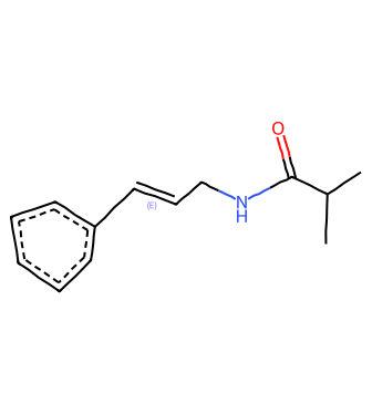 CC(C)C(=O)NC/C=C/c1ccccc1